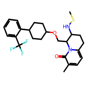 CSNC1CCc2ccc(C)c(=O)n2C1COC1CCC(c2ccccc2C(F)(F)F)CC1